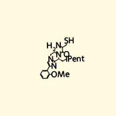 CCCC(C)C[C@H]1c2nc(-c3ccccc3OC)cn2CCN1C(=O)[C@@H](N)CS